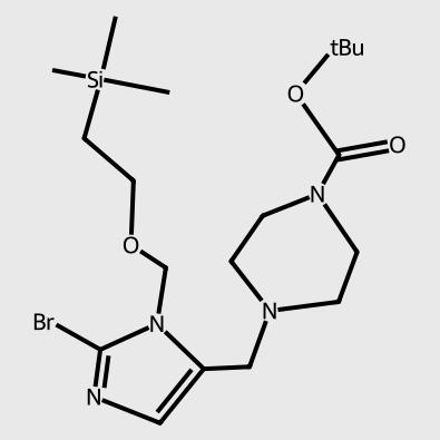 CC(C)(C)OC(=O)N1CCN(Cc2cnc(Br)n2COCC[Si](C)(C)C)CC1